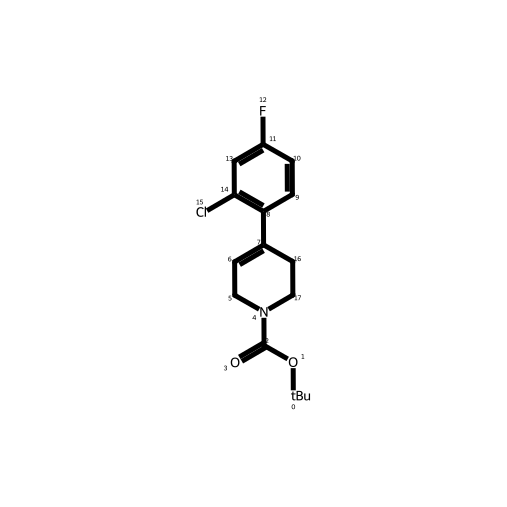 CC(C)(C)OC(=O)N1CC=C(c2ccc(F)cc2Cl)CC1